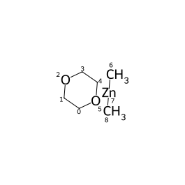 C1COCCO1.[CH3][Zn][CH3]